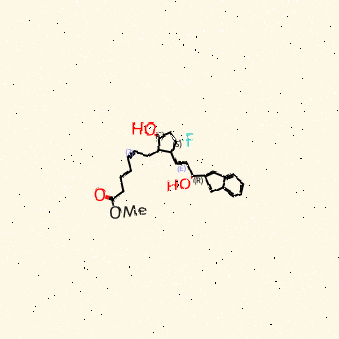 COC(=O)CCC/C=C\CC1C(/C=C/[C@H](O)C2Cc3ccccc3C2)[C@@H](F)C[C@@H]1O